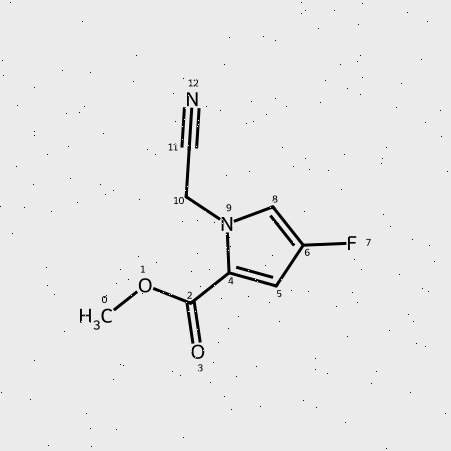 COC(=O)c1cc(F)cn1CC#N